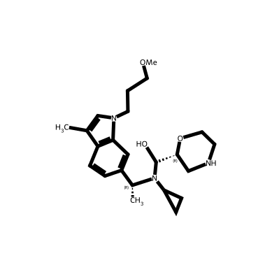 COCCCn1cc(C)c2ccc([C@@H](C)N(C3CC3)C(O)[C@H]3CNCCO3)cc21